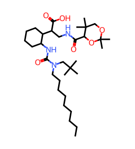 CCCCCCCCCN(CC(C)(C)C)C(=O)NC1CCCCC1C(CNC(=O)C1OC(C)(C)OCC1(C)C)C(=O)O